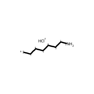 Cl.NCCCCCCI